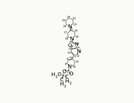 CC(C)(C)OC(=O)N1CC=C(c2cnc3nc(N4CCC(N5CCCCC5)CC4)oc3c2)CC1